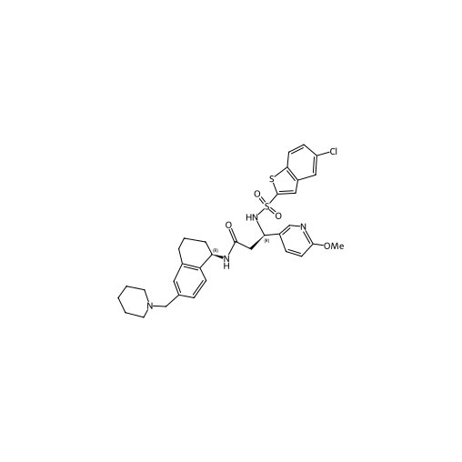 COc1ccc([C@@H](CC(=O)N[C@@H]2CCCc3cc(CN4CCCCC4)ccc32)NS(=O)(=O)c2cc3cc(Cl)ccc3s2)cn1